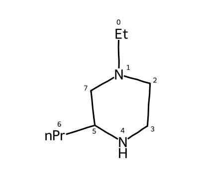 [CH2]CN1CCNC(CCC)C1